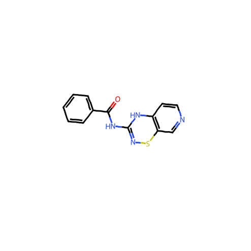 O=C(NC1=NSc2cnccc2N1)c1ccccc1